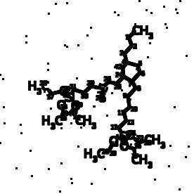 CCCCC1CCC(CCCCCC[Si](OCC)(OCC)OCC)C(CCS(=S)CCC[Si](OCC)(OCC)OCC)C1